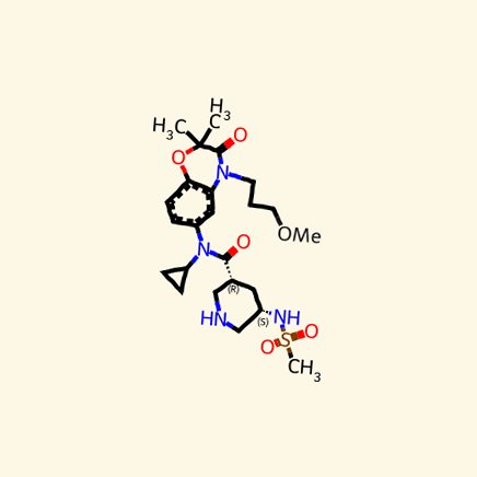 COCCCN1C(=O)C(C)(C)Oc2ccc(N(C(=O)[C@H]3CNC[C@@H](NS(C)(=O)=O)C3)C3CC3)cc21